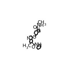 CCNC(=O)n1ccc2cc(Oc3ccnc4cc(C)c(C(=O)Nc5ccccn5)cc34)ccc21